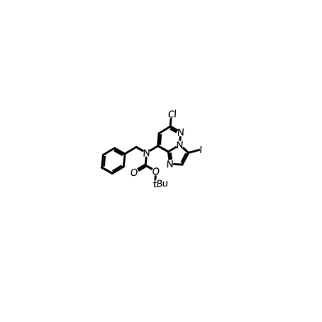 CC(C)(C)OC(=O)N(Cc1ccccc1)c1cc(Cl)nn2c(I)cnc12